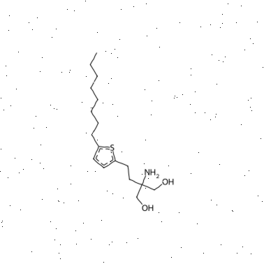 CCCCCCCCc1ccc(CCC(N)(CO)CO)s1